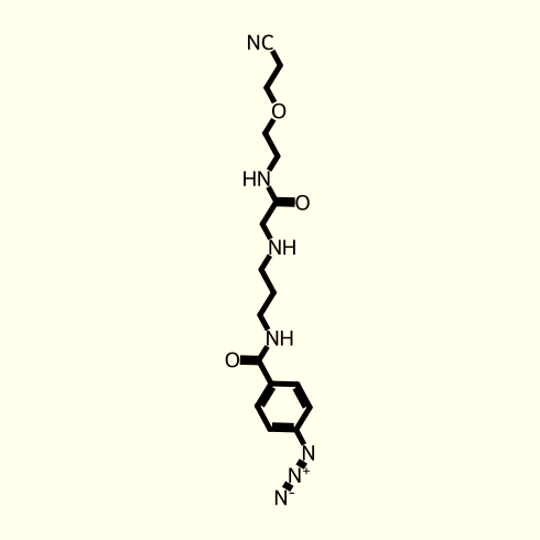 N#CCCOCCNC(=O)CNCCCNC(=O)c1ccc(N=[N+]=[N-])cc1